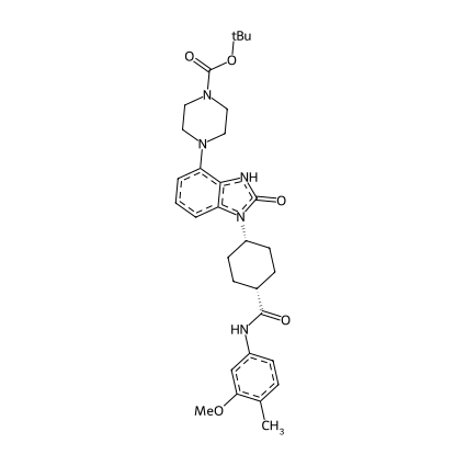 COc1cc(NC(=O)[C@H]2CC[C@@H](n3c(=O)[nH]c4c(N5CCN(C(=O)OC(C)(C)C)CC5)cccc43)CC2)ccc1C